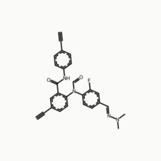 C#Cc1ccc(NC(=O)c2cc(C#C)ccc2N(C=O)c2ccc(C=NN(C)C)cc2F)cc1